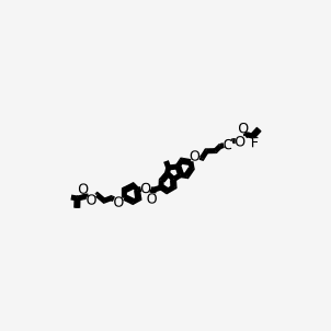 C=C(C)C(=O)OCCCOc1ccc(OC(=O)c2ccc3c(c2)C(C)c2cc(OCCCCCCOC(=O)C(=C)F)ccc2-3)cc1